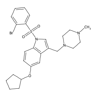 CN1CCN(Cc2cn(S(=O)(=O)c3ccccc3Br)c3ccc(OC4CCCC4)cc23)CC1